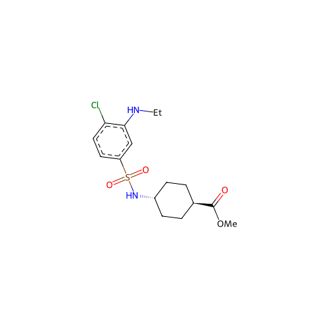 CCNc1cc(S(=O)(=O)N[C@H]2CC[C@H](C(=O)OC)CC2)ccc1Cl